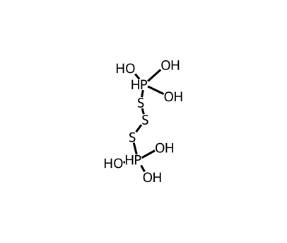 O[PH](O)(O)SSS[PH](O)(O)O